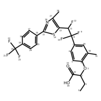 CCC(Oc1ccc(C(F)(F)C(F)c2sc(-c3ccc(C(F)(F)F)cc3)nc2C)cc1C)C(=O)O